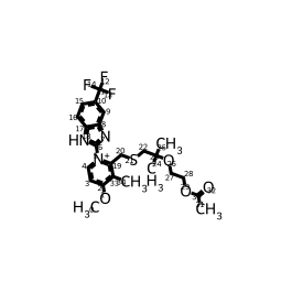 COc1cc[n+](-c2nc3cc(C(F)(F)F)ccc3[nH]2)c(CSCC(C)(C)OCCOC(C)=O)c1C